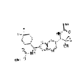 CC(C)(C)OC(=O)N[C@H](c1cn2ncc(C(NC(=O)C(C)(C)C)C3(C#N)CC3)cc2n1)C1CCC(F)(F)CC1